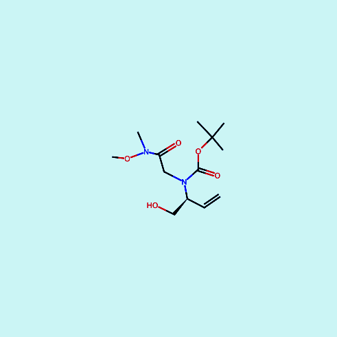 C=C[C@@H](CO)N(CC(=O)N(C)OC)C(=O)OC(C)(C)C